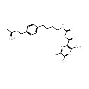 CC(=N)NCc1ccc(CCCCNC(=N)NC(=O)c2nc(Cl)c(N)nc2N)cc1